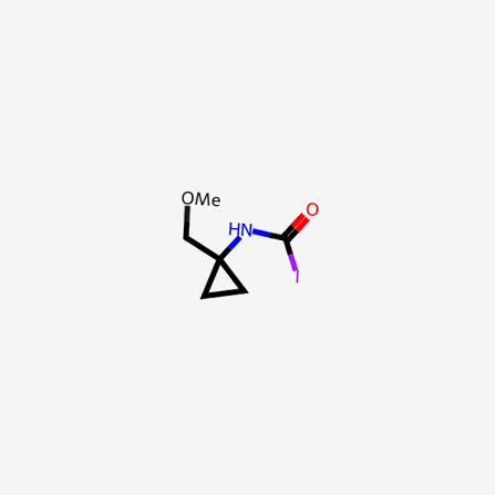 COCC1(NC(=O)I)CC1